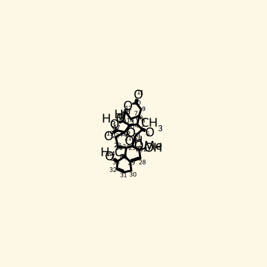 CO[C@]12O[C@@]34C(C1=O)[C@@]1(C)CC(=O)O[C@H](C1)[C@]3(C)OC(=O)[C@]4(O)CCC1C2[C@@H](O)C=C2CC=CC(=O)[C@@]21C